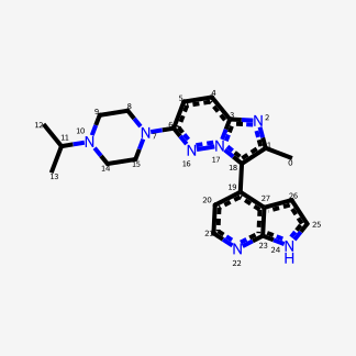 Cc1nc2ccc(N3CCN(C(C)C)CC3)nn2c1-c1ccnc2[nH]ccc12